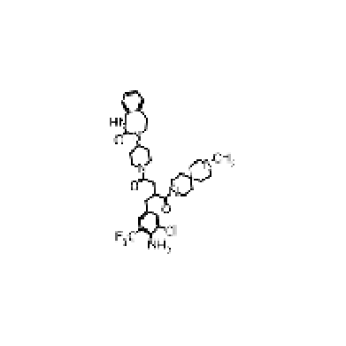 CN1CCC2(CC1)CCN(C(=O)[C@H](CC(=O)N1CCC(N3CCc4ccccc4NC3=O)CC1)Cc1cc(Cl)c(N)c(C(F)(F)F)c1)CC2